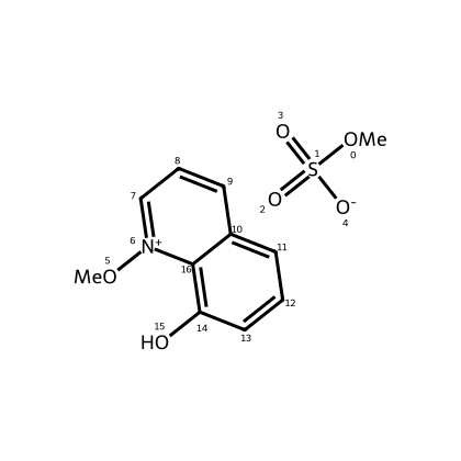 COS(=O)(=O)[O-].CO[n+]1cccc2cccc(O)c21